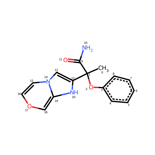 CC(Oc1ccccc1)(C(N)=O)C1=CN2C=COC=C2N1